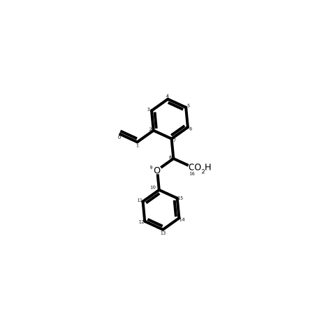 C=Cc1ccccc1C(Oc1ccccc1)C(=O)O